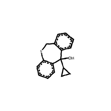 OC1(C2CC2)c2ccccc2CSc2ccccc21